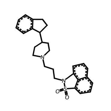 O=S1(=O)c2cccc3cccc(c23)N1CCCN1CCC(C2CCc3ccccc32)CC1